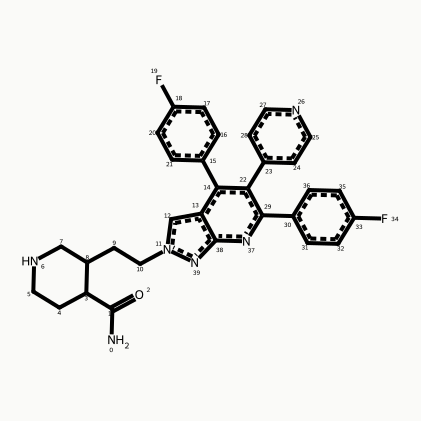 NC(=O)C1CCNCC1CCn1cc2c(-c3ccc(F)cc3)c(-c3ccncc3)c(-c3ccc(F)cc3)nc2n1